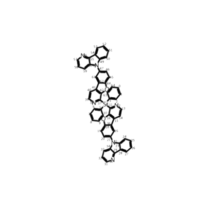 c1ccc([Si](c2ccccc2)(c2nccc3c2oc2ccc(-n4c5ccccc5c5ncccc54)cc23)c2nccc3c2oc2ccc(-n4c5ccccc5c5ncccc54)cc23)cc1